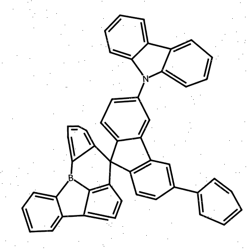 c1ccc(-c2ccc3c(c2)-c2cc(-n4c5ccccc5c5ccccc54)ccc2C32c3ccccc3B3c4ccccc4-c4cccc2c43)cc1